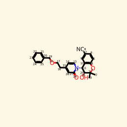 CC1(C)Oc2ccc(C#N)cc2[C@@H](n2ccc(CCOCc3ccccc3)cc2=O)[C@@H]1O